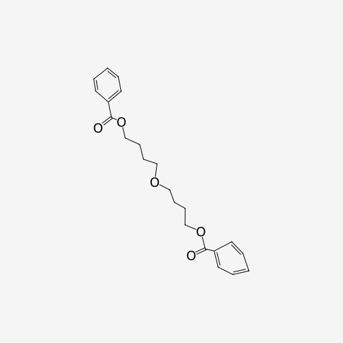 O=C(OCCCCOCCCCOC(=O)c1ccccc1)c1ccccc1